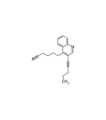 CCCC#Cc1cnc2ccccc2c1CCCCC#N